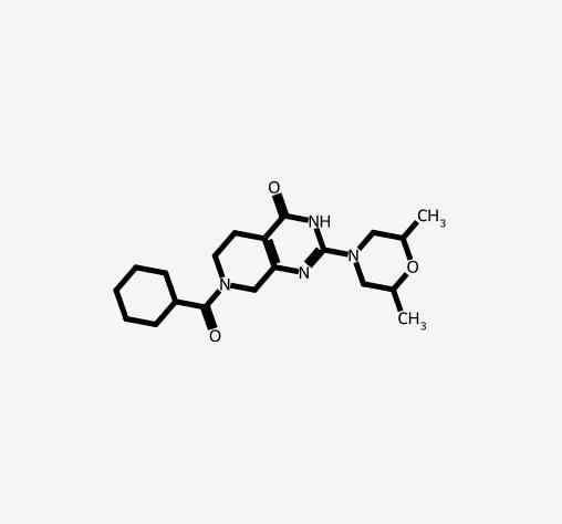 CC1CN(c2nc3c(c(=O)[nH]2)CCN(C(=O)C2CCCCC2)C3)CC(C)O1